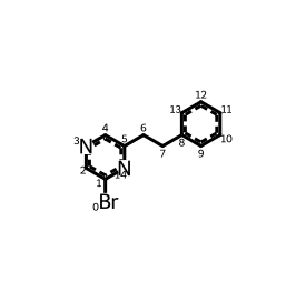 Brc1cncc(CCc2ccccc2)n1